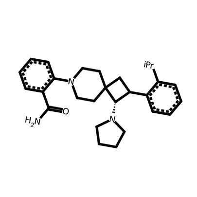 CC(C)c1ccccc1C1CC2(CCN(c3ccccc3C(N)=O)CC2)[C@H]1N1CCCC1